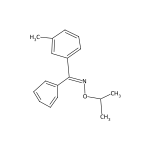 Cc1cccc(C(=NOC(C)C)c2ccccc2)c1